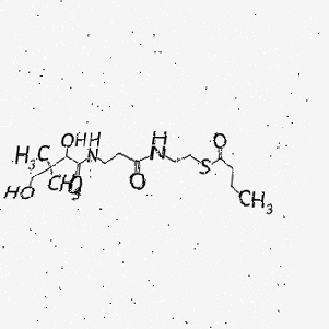 CCCC(=O)SCCNC(=O)CCNC(=O)C(O)C(C)(C)CO